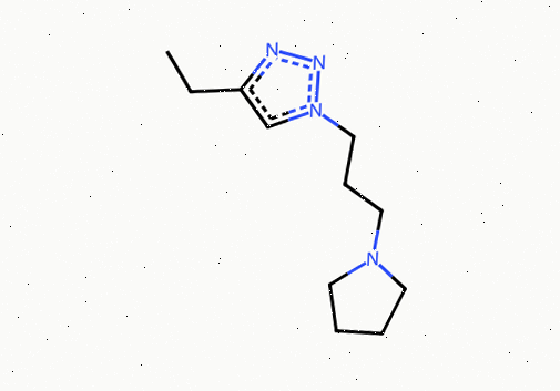 CCc1cn(CCCN2CCCC2)nn1